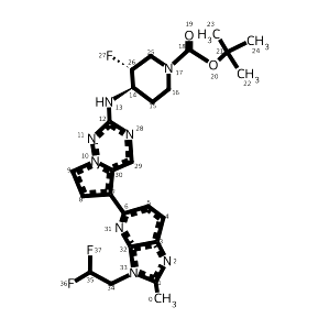 Cc1nc2ccc(-c3ccn4nc(N[C@@H]5CCN(C(=O)OC(C)(C)C)C[C@H]5F)ncc34)nc2n1CC(F)F